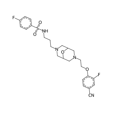 N#Cc1ccc(OCCN2CC3CN(CCCNS(=O)(=O)c4ccc(F)cc4)CC(C2)O3)c(F)c1